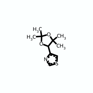 CC1(C)OC(c2cs[c]n2)C(C)(C)O1